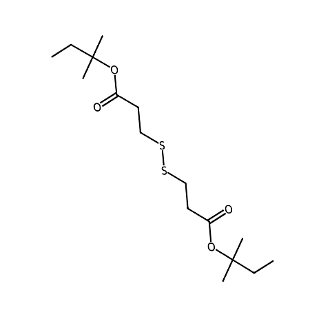 CCC(C)(C)OC(=O)CCSSCCC(=O)OC(C)(C)CC